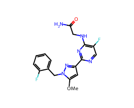 COc1cc(-c2ncc(F)c(NCC(N)=O)n2)nn1Cc1ccccc1F